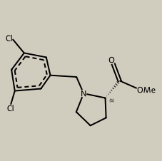 COC(=O)[C@@H]1CCCN1Cc1cc(Cl)cc(Cl)c1